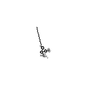 CCCCCCCCCCCCCCCCOc1cccc(-c2cccc(C(=O)NN)c2-c2ccc([N+](=O)[O-])cc2)c1